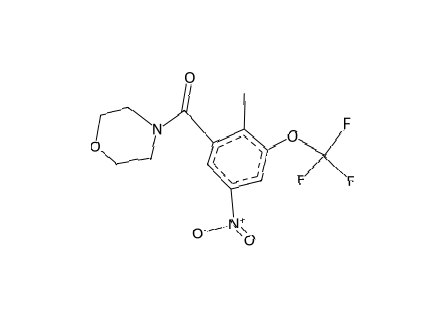 Cc1c(OC(F)(F)F)cc([N+](=O)[O-])cc1C(=O)N1CCOCC1